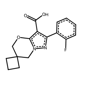 O=C(O)c1c(-c2ccccc2F)nn2c1OCC1(CCC1)C2